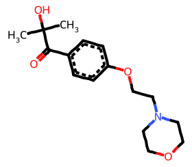 CC(C)(O)C(=O)c1ccc(OCCN2CCOCC2)cc1